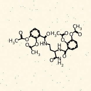 CC(=O)Oc1cccc(C(=O)NCCC(NC(=O)c2cccc(OC(C)=O)c2OC(C)=O)C(N)=O)c1OC(C)=O